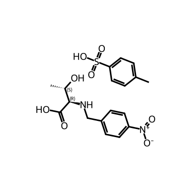 C[C@H](O)[C@@H](NCc1ccc([N+](=O)[O-])cc1)C(=O)O.Cc1ccc(S(=O)(=O)O)cc1